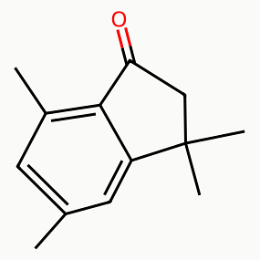 Cc1cc(C)c2c(c1)C(C)(C)CC2=O